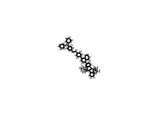 [2H]C([2H])([2H])C1(C)C2=C(c3ccccc31)C(C)(C([2H])([2H])[2H])c1cc(-c3ccc(-c4ccc(/C=C/c5ccc(N(c6ccccc6)c6ccccc6)cc5)cc4)c4ccccc34)ccc12